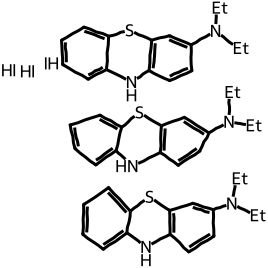 CCN(CC)c1ccc2c(c1)Sc1ccccc1N2.CCN(CC)c1ccc2c(c1)Sc1ccccc1N2.CCN(CC)c1ccc2c(c1)Sc1ccccc1N2.I.I.I